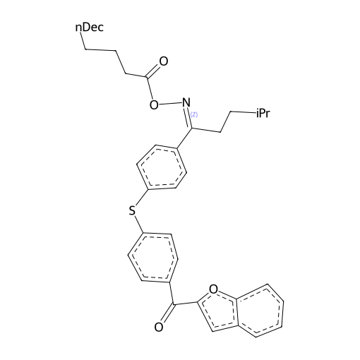 CCCCCCCCCCCCCC(=O)O/N=C(/CCC(C)C)c1ccc(Sc2ccc(C(=O)c3cc4ccccc4o3)cc2)cc1